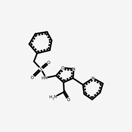 NC(=O)c1c(-c2ccccn2)noc1NS(=O)(=O)Cc1ccccc1